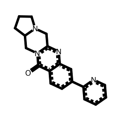 O=c1c2ccc(-c3ccccn3)cc2nc2n1CC1CCCN1C2